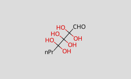 CCCC(O)(O)C(O)(O)C(O)(O)C=O